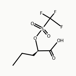 CCC[C@@H](OS(=O)(=O)C(F)(F)F)C(=O)O